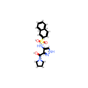 O=C(c1n[nH]cc1NS(=O)(=O)c1ccc2ccccc2c1)N1CCCC1